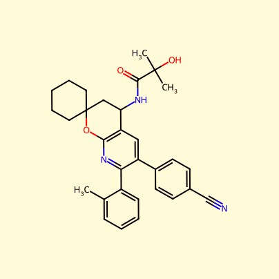 Cc1ccccc1-c1nc2c(cc1-c1ccc(C#N)cc1)C(NC(=O)C(C)(C)O)CC1(CCCCC1)O2